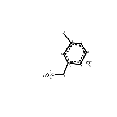 Cc1ccc[n+](CC(=O)O)c1.[Cl-]